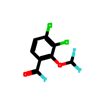 O=C(F)c1ccc(Cl)c(Cl)c1OC(F)F